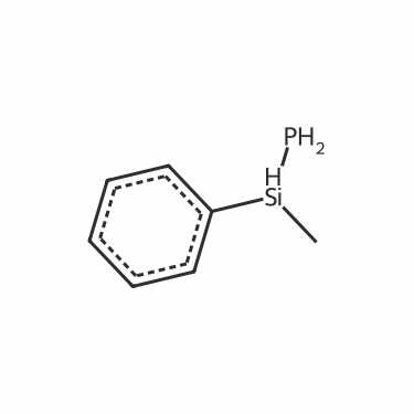 C[SiH](P)c1ccccc1